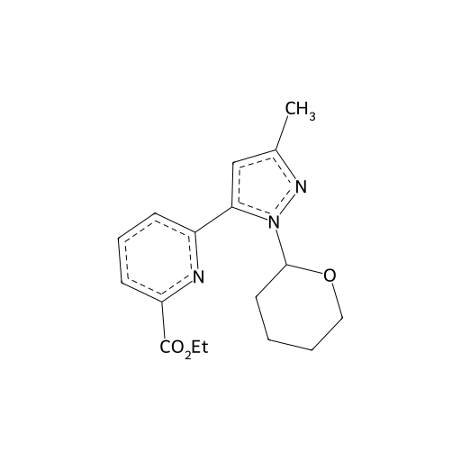 CCOC(=O)c1cccc(-c2cc(C)nn2C2CCCCO2)n1